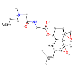 COC1C(OC(=O)CNC(=O)CN(C)CCNC(C)=O)CC[C@]2(CO2)C1[C@@]1(C)O[C@@H]1CC=C(C)C